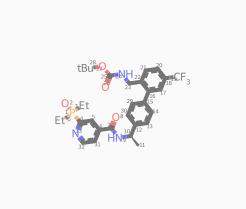 CCP(=O)(CC)c1cc(C(=O)N[C@H](C)c2ccc(-c3cc(C(F)(F)F)ccc3CNC(=O)OC(C)(C)C)cc2)ccn1